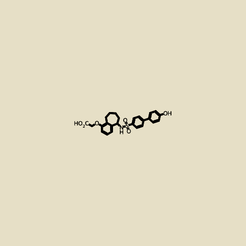 O=C(O)COc1cccc2c1CCCCC2NS(=O)(=O)c1ccc(-c2ccc(O)cc2)cc1